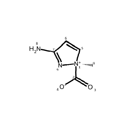 C[N@@+]1(C(=O)[O-])C=CC(N)=N1